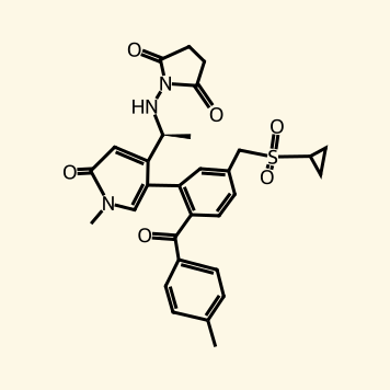 Cc1ccc(C(=O)c2ccc(CS(=O)(=O)C3CC3)cc2-c2cn(C)c(=O)cc2[C@H](C)NN2C(=O)CCC2=O)cc1